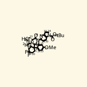 [2H]C([2H])([2H])N(C(=O)C1(c2ccc(OC)cc2)CCC(F)(F)CC1)[C@H](CO)C(=O)Nc1ccc2c(ccn2C(=O)OC(C)(C)C)n1